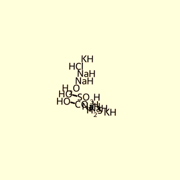 Cl.O.O=C(O)O.O=S(=O)(O)O.S.[KH].[KH].[NaH].[NaH].[NaH].[NaH]